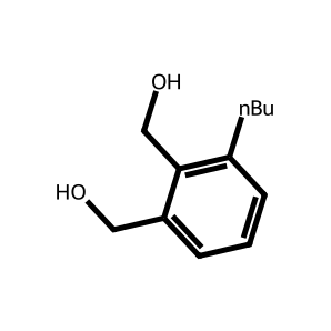 CCCCc1cccc(CO)c1CO